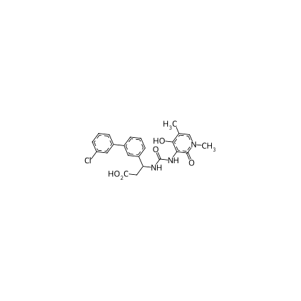 Cc1cn(C)c(=O)c(NC(=O)NC(CC(=O)O)c2cccc(-c3cccc(Cl)c3)c2)c1O